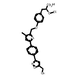 CCOC(Cc1ccc(OCc2sc(-c3ccc(-c4cc(CO)on4)cc3)cc2C)cc1)C(=O)O